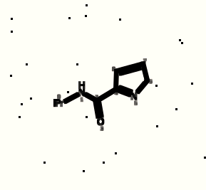 CC(C)NC(=O)C1=NCC=C1